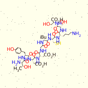 CC[C@H](C)[C@H](NC(=O)CNC(=O)[C@H](CC(=O)O)NC(=O)[C@H](CC(=O)O)NC(=O)[C@H](Cc1ccc(O)cc1)NC(=O)[C@@H](N)[C@@H](C)O)C(=O)N[C@@H](CS)C(=O)N[C@@H](CCCCN)C(=O)N[C@@H](CO)C(=O)N[C@@H](CO)C(=O)O